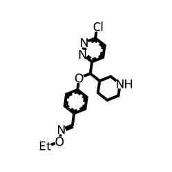 CCON=Cc1ccc(OC(c2ccc(Cl)nn2)C2CCCNC2)cc1